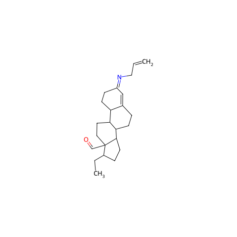 C=CC/N=C1\C=C2CCC3C(CCC4(C=O)C(CC)CCC34)C2CC1